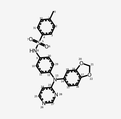 Cc1ccc(S(=O)(=O)Nc2ccc(N(c3ccc4c(c3)OCO4)c3ccncn3)cc2)cc1